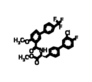 COC(=O)[C@@H](Cc1ccc(-c2ccc(F)c(Cl)c2)cc1)NC(=O)c1cc(-c2ccc(C(F)(F)F)cc2)ccc1OC